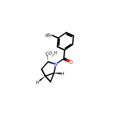 CC(C)(C)c1cccc(C(=O)N2[C@@H](C(=O)O)C[C@H]3C[C@H]32)c1